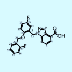 O=C(O)c1cccc2c1cnn2Cc1cc(F)ccc1OCc1ccccc1F